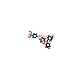 O=[N+]([O-])c1ccc(CN[C@@H]2CO[C@H](C(c3ccc(F)cc3)c3ccc(F)cc3)C[C@H]2O)cc1